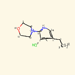 Cl.O=C(O)Cc1ccc(N2CCOCC2)nc1